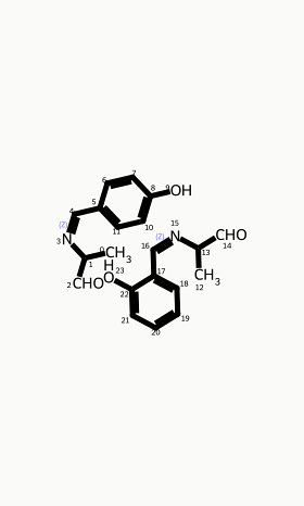 CC(C=O)/N=C\c1ccc(O)cc1.CC(C=O)/N=C\c1ccccc1O